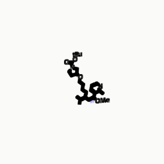 CO/C(=C/C(CCCCOC1CCN(C(=O)OC(C)(C)C)C1)=C(C)C)c1cccnc1C